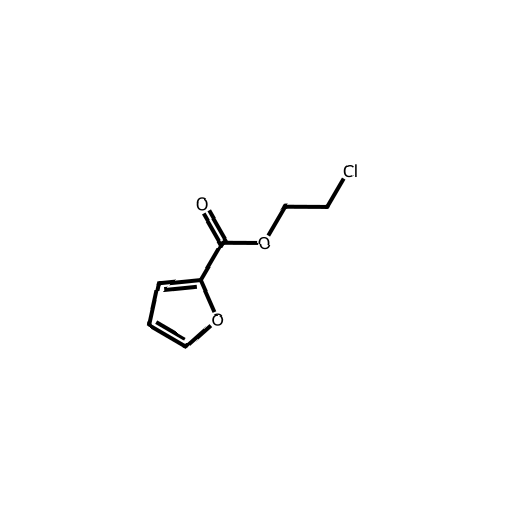 O=C(OCCCl)c1ccco1